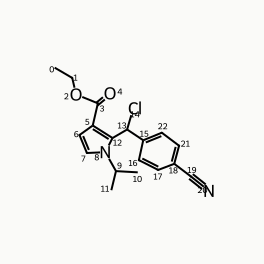 CCOC(=O)c1ccn(C(C)C)c1C(Cl)c1ccc(C#N)cc1